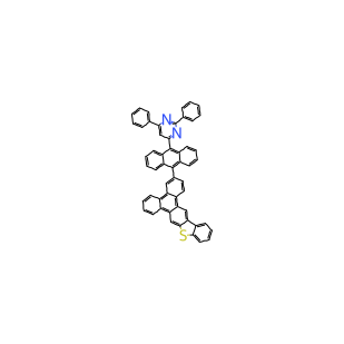 c1ccc(-c2cc(-c3c4ccccc4c(-c4ccc5c(c4)c4ccccc4c4cc6sc7ccccc7c6cc54)c4ccccc34)nc(-c3ccccc3)n2)cc1